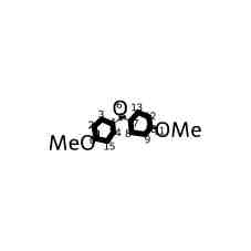 CO[C@H]1CC[C@H](C(=O)[C@H]2CC[C@H](OC)CC2)CC1